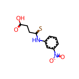 O=C(O)CCC(=S)Nc1cccc([N+](=O)[O-])c1